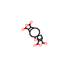 O=C1OC(=O)C2C3CCC(=O)C4(CCCC(C3)C12)CC1CC4C2C(=O)OC(=O)C12